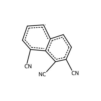 N#Cc1ccc2[c]ccc(C#N)c2c1C#N